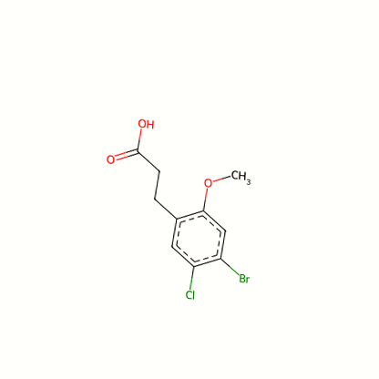 COc1cc(Br)c(Cl)cc1CCC(=O)O